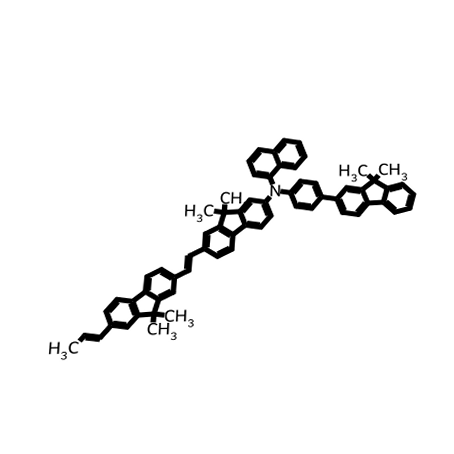 C/C=C/c1ccc2c(c1)C(C)(C)c1cc(/C=C/c3ccc4c(c3)C(C)(C)c3cc(N(c5ccc(-c6ccc7c(c6)C(C)(C)c6ccccc6-7)cc5)c5cccc6ccccc56)ccc3-4)ccc1-2